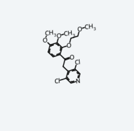 COCCOc1c(C(=O)Cc2c(Cl)cncc2Cl)ccc(OC)c1OC